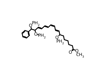 COC(=O)CCCCCC(/C=C/C=C\C=C\C=C\C(OP)C(OP)c1ccccc1)OP